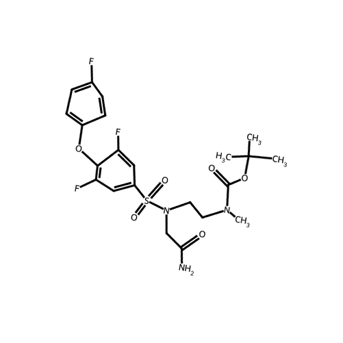 CN(CCN(CC(N)=O)S(=O)(=O)c1cc(F)c(Oc2ccc(F)cc2)c(F)c1)C(=O)OC(C)(C)C